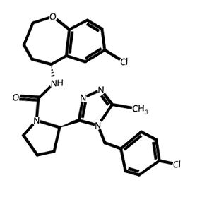 Cc1nnc([C@H]2CCCN2C(=O)N[C@@H]2CCCOc3ccc(Cl)cc32)n1Cc1ccc(Cl)cc1